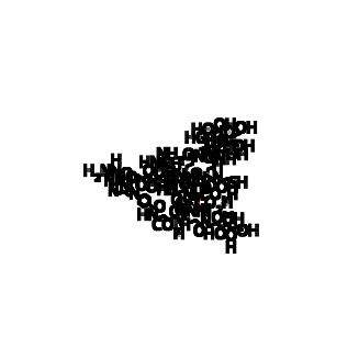 N=C(N)NCCC[C@H](NC(=O)[C@H](CCC(=O)NC[C@H](O)[C@@H](O)[C@H](O)[C@H](O)CO)NC(=O)[C@H](CCC(=O)O)NC(=O)[C@H](CCC(=O)NC[C@H](O)[C@@H](O)[C@H](O)[C@H](O)CO)NC(=O)CC[C@H](NC(=O)c1ccc(NCc2cnc3nc(N)[nH]c(=O)c3n2)cc1)C(=O)O)C(=O)N[C@@H](CCC(=O)NC[C@H](O)[C@@H](O)[C@H](O)[C@H](O)CO)C(=O)N[C@@H](CCC(=O)O)C(=O)N[C@@H](CCC(=O)NC[C@H](O)[C@@H](O)[C@H](O)[C@H](O)CO)C(=O)N[C@H](O)CS